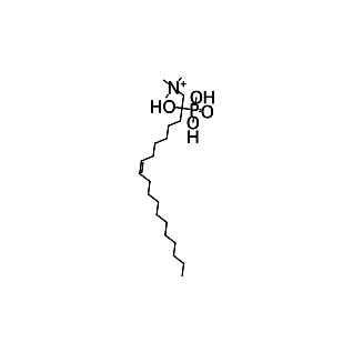 CCCCCCCCCC/C=C\CCCCCC(O)(C[N+](C)(C)C)P(=O)(O)O